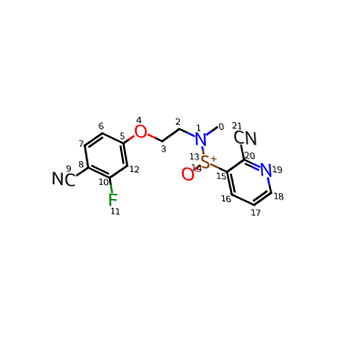 CN(CCOc1ccc(C#N)c(F)c1)[S+]([O-])c1cccnc1C#N